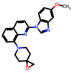 COc1ccc2c(c1)ncn2-c1ccc2cccc(N3CCC4(CC3)CO4)c2n1